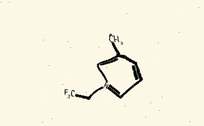 Cc1ccc[n+](CC(F)(F)F)c1